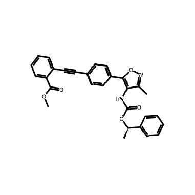 COC(=O)c1ccccc1C#Cc1ccc(-c2onc(C)c2NC(=O)O[C@H](C)c2ccccc2)cc1